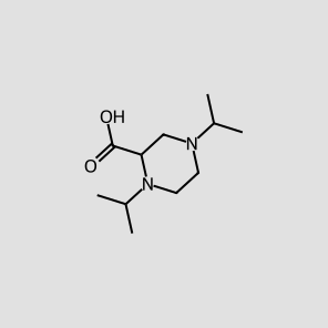 CC(C)N1CCN(C(C)C)C(C(=O)O)C1